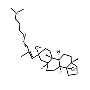 CC(C=NOCCCN(C)C)=C[C@]1(O)CC[C@@]2(C)[C@H](CC[C@@H]3[C@@H]2CC[C@]2(C)CCC[C@]32O)C1